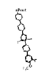 CCCCCC1CCC(C2CCC(c3cc(F)c(C4=CCC(c5ccc(OC(F)(F)F)c(F)c5)CC4)c(F)c3)CC2)CC1